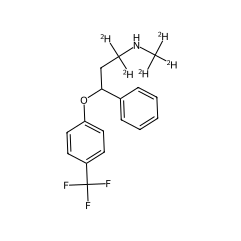 [2H]C([2H])([2H])NC([2H])([2H])CC(Oc1ccc(C(F)(F)F)cc1)c1ccccc1